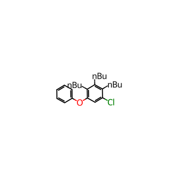 CCCCc1c(Cl)cc(Oc2ccccc2)c(CCCC)c1CCCC